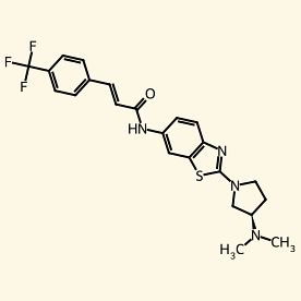 CN(C)[C@@H]1CCN(c2nc3ccc(NC(=O)/C=C/c4ccc(C(F)(F)F)cc4)cc3s2)C1